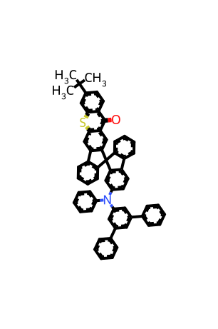 CC(C)(C)c1ccc2c(=O)c3cc4c(cc3sc2c1)-c1ccccc1C41c2ccccc2-c2ccc(N(c3ccccc3)c3cc(-c4ccccc4)cc(-c4ccccc4)c3)cc21